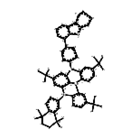 CC(C)(C)c1ccc2c(c1)B1c3ccc(C(C)(C)C)cc3N(c3ccc(-c4cccc5c4oc4ccccc45)cc3)c3cc(C(C)(C)C)cc(c31)N2c1ccc2c(c1)C(C)(C)CCC2(C)C